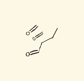 C=O.C=O.CCCC=O